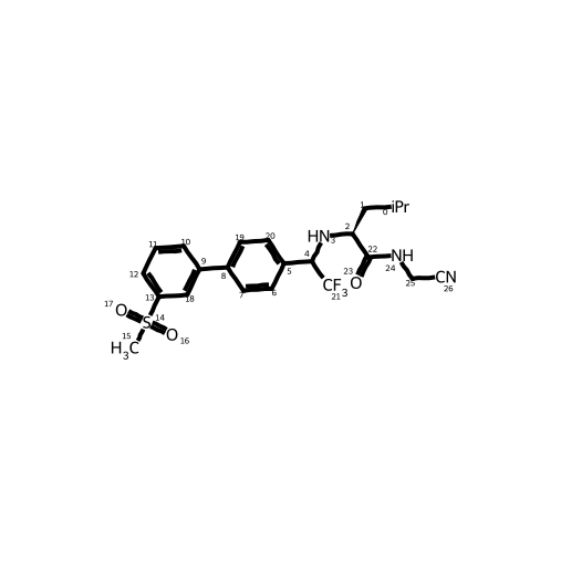 CC(C)C[C@H](NC(c1ccc(-c2cccc(S(C)(=O)=O)c2)cc1)C(F)(F)F)C(=O)NCC#N